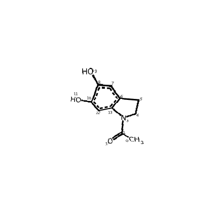 CC(=O)N1CCc2cc(O)c(O)cc21